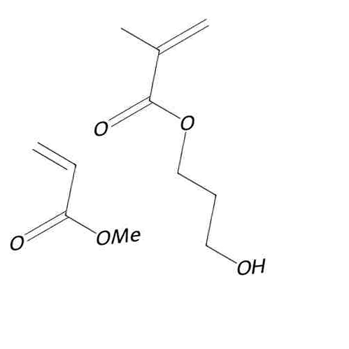 C=C(C)C(=O)OCCCO.C=CC(=O)OC